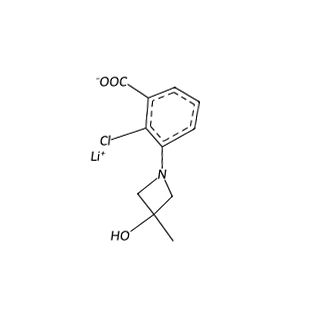 CC1(O)CN(c2cccc(C(=O)[O-])c2Cl)C1.[Li+]